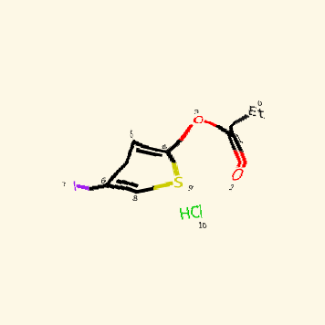 CCC(=O)Oc1cc(I)cs1.Cl